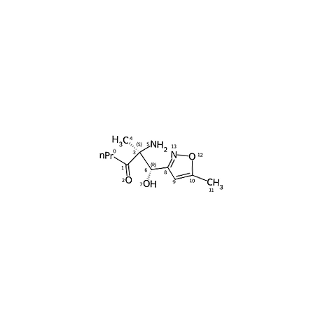 CCCC(=O)[C@@](C)(N)[C@@H](O)c1cc(C)on1